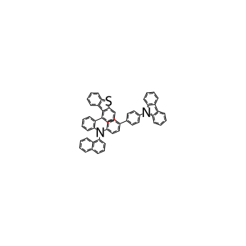 c1ccc(N(c2ccc(-c3ccc(-n4c5ccccc5c5ccccc54)cc3)cc2)c2cccc3ccccc23)c(-c2cccc3sc4ccccc4c23)c1